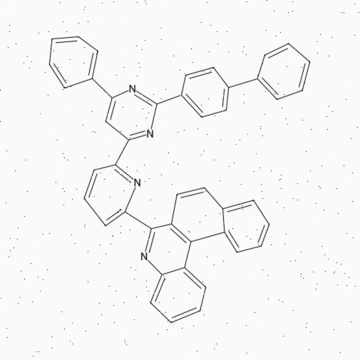 c1ccc(-c2ccc(-c3nc(-c4ccccc4)cc(-c4cccc(-c5nc6ccccc6c6c5ccc5ccccc56)n4)n3)cc2)cc1